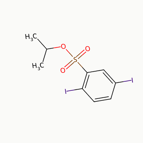 CC(C)OS(=O)(=O)c1cc(I)ccc1I